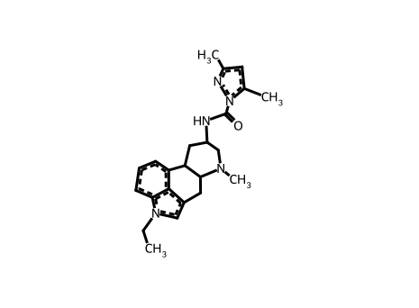 CCn1cc2c3c(cccc31)C1CC(NC(=O)n3nc(C)cc3C)CN(C)C1C2